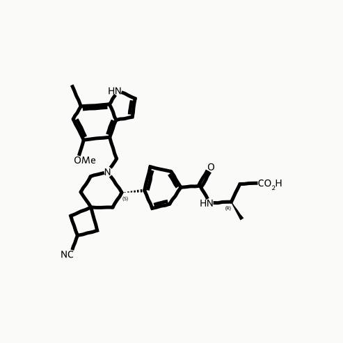 COc1cc(C)c2[nH]ccc2c1CN1CCC2(CC(C#N)C2)C[C@H]1c1ccc(C(=O)N[C@H](C)CC(=O)O)cc1